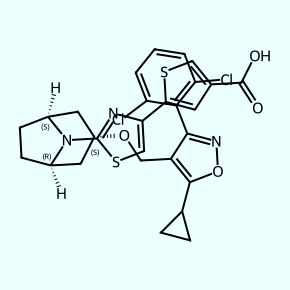 O=C(O)c1csc(-c2csc(N3[C@@H]4CC[C@H]3C[C@H](OCc3c(-c5c(Cl)cccc5Cl)noc3C3CC3)C4)n2)c1